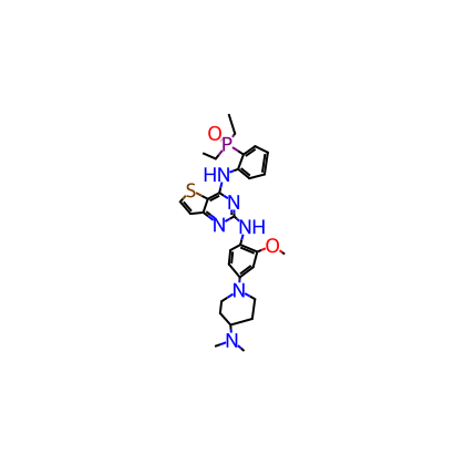 CCP(=O)(CC)c1ccccc1Nc1nc(Nc2ccc(N3CCC(N(C)C)CC3)cc2OC)nc2ccsc12